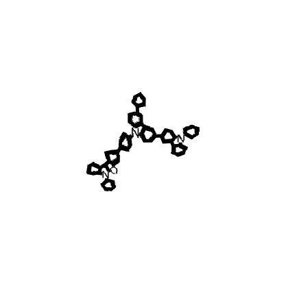 c1ccc(-c2ccc3c(c2)c2cc(-c4ccc5c(c4)c4ccccc4n5-c4ccccc4)ccc2n3-c2ccc(-c3ccc4c(c3)oc3c4c4ccccc4n3-c3ccccc3)cc2)cc1